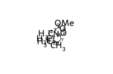 COC(=O)CN1C(=O)CCC(C)(C)C1(C)C